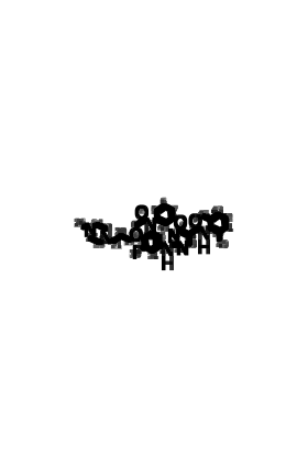 CC(=O)Nc1cccc(Oc2nc(Nc3ccc(OCCCN4CCN(C)CC4)c(F)c3)ncc2C(=O)Nc2c(C)cccc2C)c1